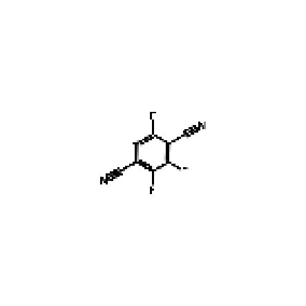 N#Cc1[c]c(F)c(C#N)c(F)c1F